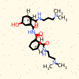 CN(C)CCCNC(=O)[C@H]1C(C(=O)NC(=O)C2C3CC[C@H](CC3O)[C@H]2C(=O)NCCCN(C)C)C2CC[C@@H]1CC2O